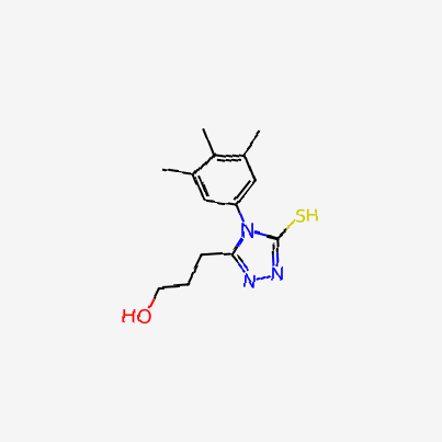 Cc1cc(-n2c(S)nnc2CCCO)cc(C)c1C